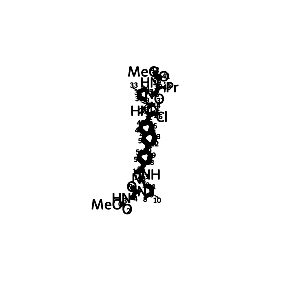 COC(=O)NCC(=O)N1C[C@@H](C)C[C@H]1c1ncc(-c2ccc(-c3ccc4cc(-c5[nH]c([C@@H]6C[C@H](C)CN6C(=O)[C@@H](NC(=O)OC)C(C)C)nc5Cl)ccc4c3)cc2)[nH]1